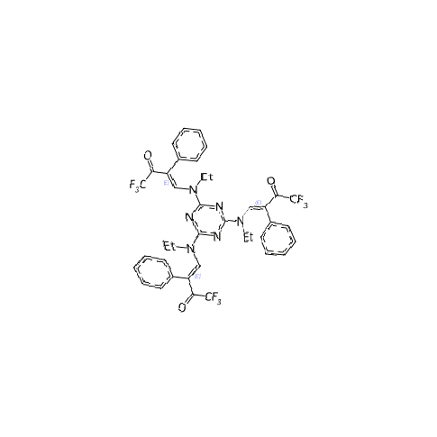 CCN(/C=C(/C(=O)C(F)(F)F)c1ccccc1)c1nc(N(/C=C(/C(=O)C(F)(F)F)c2ccccc2)CC)nc(N(/C=C(/C(=O)C(F)(F)F)c2ccccc2)CC)n1